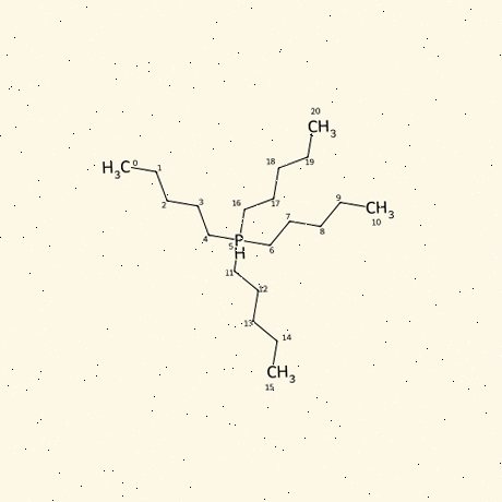 CCCCC[PH](CCCCC)(CCCCC)CCCCC